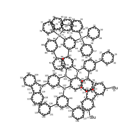 CC(C)(C)c1ccc2c(c1)c1cc(C(C)(C)C)ccc1n2-c1cc2c3c(c1)N(c1ccc(-c4ccccc4)cc1-c1ccccc1)c1cc(-c4cc([Si](c5ccccc5)(c5ccccc5)c5cccc(-c6ccccc6)c5)cc([Si](c5ccccc5)(c5ccccc5)c5cccc(-c6ccccc6)c5)c4)ccc1B3c1ccc(-n3c4ccccc4c4ccccc43)cc1N2c1cc(-c2ccccc2)cc(-c2ccccc2)c1